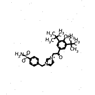 CC(C)(C)c1cc(C(=O)C[n+]2ccn(Cc3ccc(S(N)(=O)=O)cc3)c2)cc(C(C)(C)C)c1O